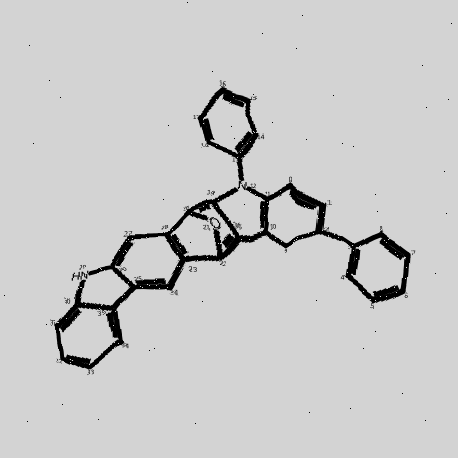 C1=CC(c2ccccc2)Cc2c1n(-c1ccccc1)c1c3oc(c4cc5c(cc43)[nH]c3ccccc35)c21